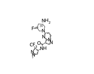 Cn1cc(NC(=O)c2cnn3ccc(N4C[C@@H](N)C[C@H](F)C4)nc23)c(C(F)(F)F)n1